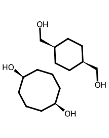 OC[C@H]1CC[C@@H](CO)CC1.O[C@H]1CCC[C@@H](O)CCC1